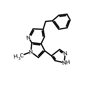 Cn1cc(-c2cn[nH]c2)c2cc(Cc3ccccc3)cnc21